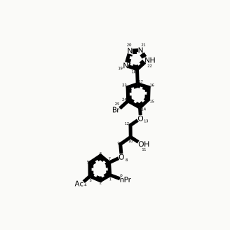 CCCc1cc(C(C)=O)ccc1OCC(O)COc1ccc(-c2nnn[nH]2)cc1Br